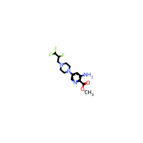 COC(=O)c1ncc(N2CCN(CC(F)C(F)F)CC2)cc1N